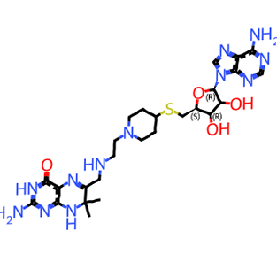 CC1(C)Nc2nc(N)[nH]c(=O)c2N=C1CNCCN1CCC(SC[C@H]2O[C@@H](n3cnc4c(N)ncnc43)C(O)[C@H]2O)CC1